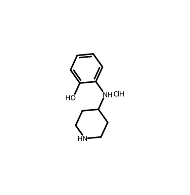 Cl.Oc1ccccc1NC1CCNCC1